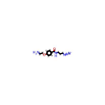 [N-]=[N+]=NCCCNC(=O)c1ccc(OCCN)cc1